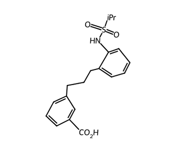 CC(C)S(=O)(=O)Nc1ccccc1CCCc1cccc(C(=O)O)c1